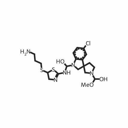 COC(O)N1CCC2(C1)CN(C(O)NC1=NCC(SCCCN)S1)c1ccc(Cl)cc12